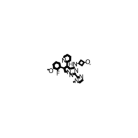 COc1cccc(-c2cn3nc(-c4nccn4C)nc(N[C@H]4C[C@H](OC)C4)c3c2-c2ccccn2)c1F